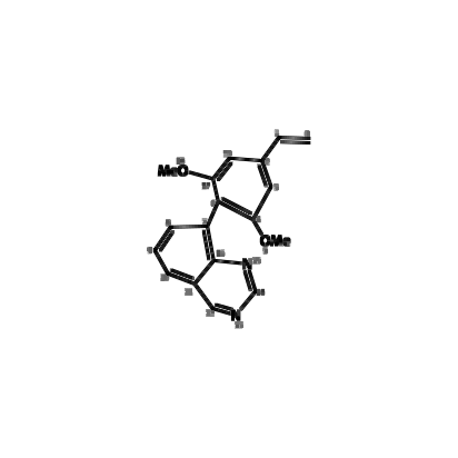 C=Cc1cc(OC)c(-c2cccc3cncnc23)c(OC)c1